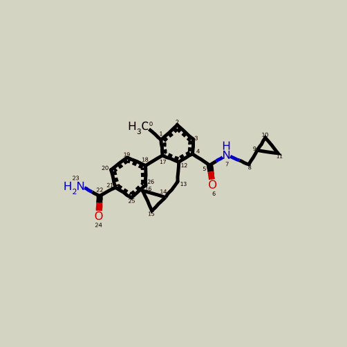 Cc1ccc(C(=O)NCC2CC2)c(CC2CC2)c1-c1ccc(C(N)=O)cc1